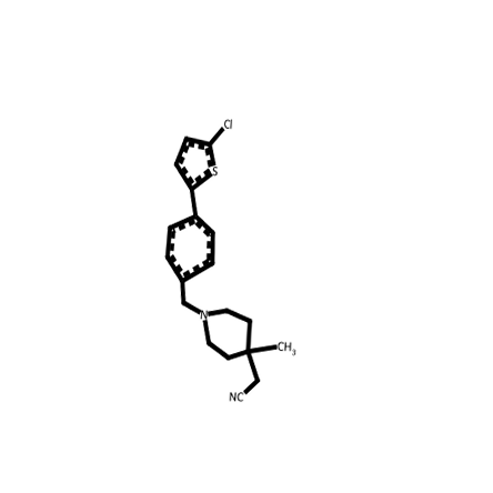 CC1(CC#N)CCN(Cc2ccc(-c3ccc(Cl)s3)cc2)CC1